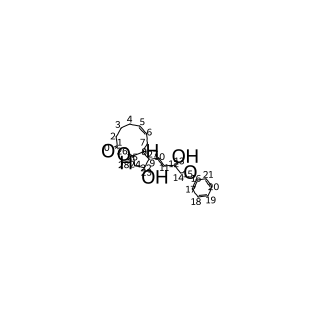 O=C1CCC/C=C\C[C@@H]2[C@@H](/C=C/[C@@H](O)COc3ccccc3)[C@H](O)C[C@@H]2O1